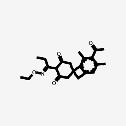 CCON=C(CC)C1C(=O)CC2(CC1=O)Cc1cc(C)c(C(C)=O)c(C)c12